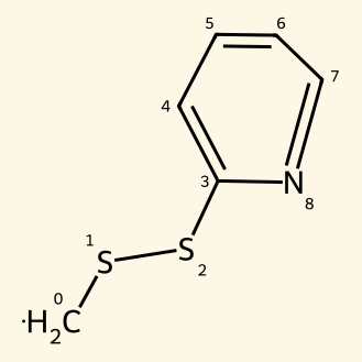 [CH2]SSc1ccccn1